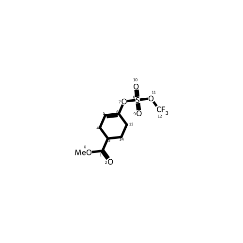 COC(=O)C1CC=C(OS(=O)(=O)OC(F)(F)F)CC1